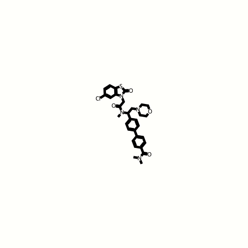 CN(C)C(=O)c1ccc(-c2ccc(C(CN3CCOCC3)N(C)C(=O)Cn3c(=O)sc4ccc(Cl)cc43)cc2)cc1